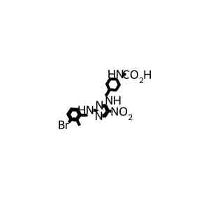 Cc1c(Br)cccc1CNc1ncc([N+](=O)[O-])c(NCC2CCC(NC(=O)O)CC2)n1